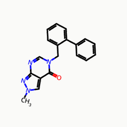 Cn1cc2c(=O)n(Cc3ccccc3-c3ccccc3)cnc2n1